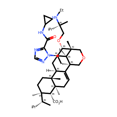 CCN[C@@](C)(CO[C@H]1[C@H](n2ncnc2C(=O)NC2CC2)C[C@@]23COC[C@]1(C)[C@@H]2CC[C@H]1C3=CC[C@@]2(C)[C@H](C(=O)O)[C@@](C)([C@H](C)C(C)C)CC[C@]12C)C(C)C